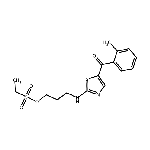 CCS(=O)(=O)OCCCNc1ncc(C(=O)c2ccccc2C)s1